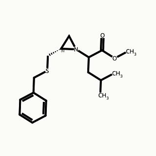 COC(=O)C(CC(C)C)N1C[C@H]1CSCc1ccccc1